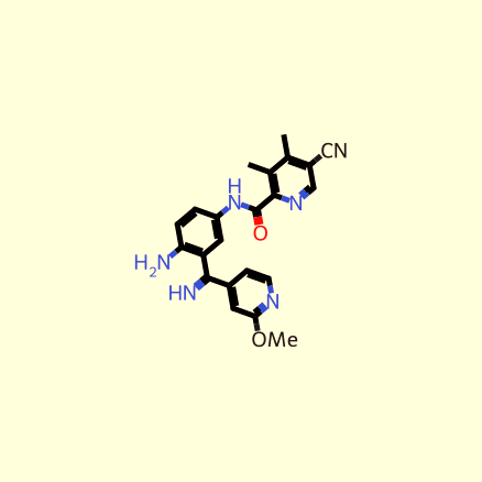 COc1cc(C(=N)c2cc(NC(=O)c3ncc(C#N)c(C)c3C)ccc2N)ccn1